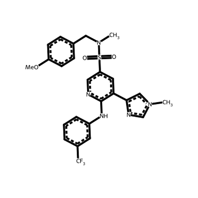 COc1ccc(CN(C)S(=O)(=O)c2cnc(Nc3cccc(C(F)(F)F)c3)c(-c3cn(C)cn3)c2)cc1